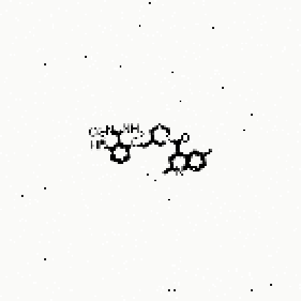 Cc1ccc2nc(C)cc(C(=O)N3CCCC(COc4cccc5c4C(N)=N[S+]([O-])N5)C3)c2c1